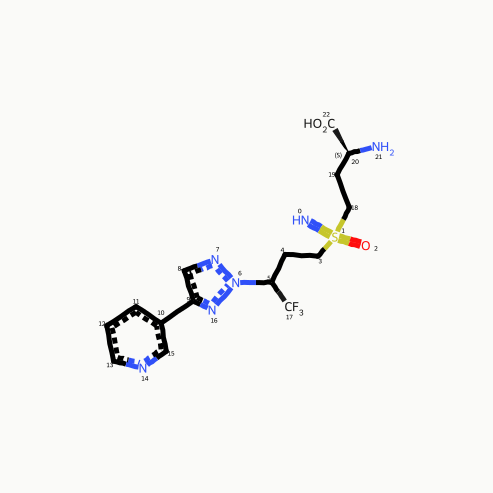 N=S(=O)(CCC(n1ncc(-c2cccnc2)n1)C(F)(F)F)CC[C@H](N)C(=O)O